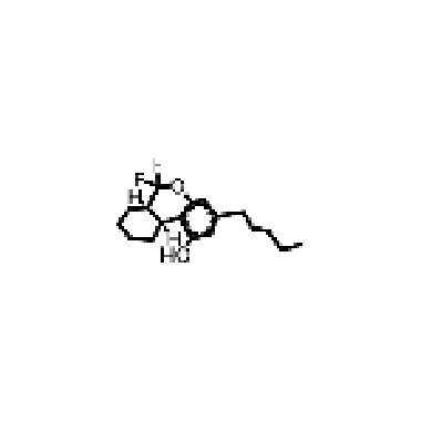 CCCCCc1cc(O)c2c(c1)OC(F)(F)[C@@H]1CCCC[C@@H]21